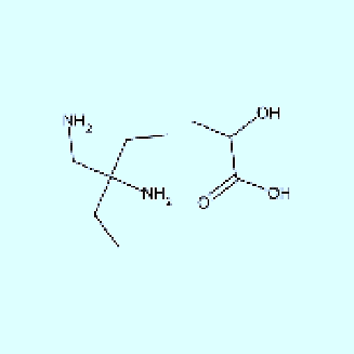 CC(O)C(=O)O.CCC(N)(CC)CN